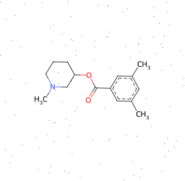 Cc1cc(C)cc(C(=O)OC2CCCN(C)C2)c1